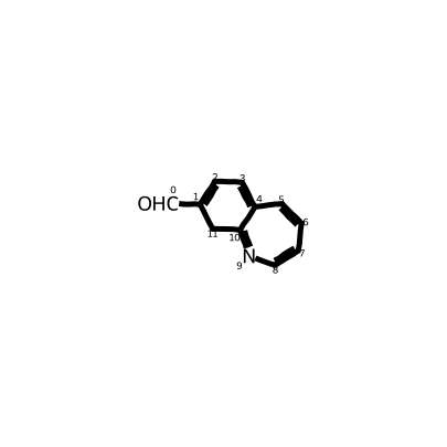 O=CC1=CC=C2C=CC=CN=C2C1